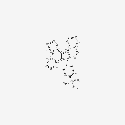 C[Si](C)(C)c1ccc(-n2c3ccc4ccccc4c3c3c4ccccc4c4ccccc4c32)cc1